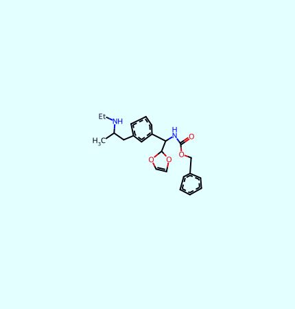 CCNC(C)Cc1cccc(C(NC(=O)OCc2ccccc2)C2OC=CO2)c1